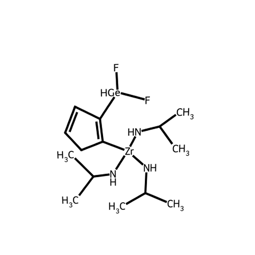 CC(C)[NH][Zr]([NH]C(C)C)([NH]C(C)C)[C]1=[C]([GeH]([F])[F])C=CC1